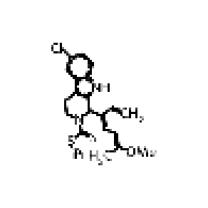 C=C/C(=C\C=C(/C)OC)C1c2[nH]c3ccc(Cl)cc3c2CCN1C(=S)SC(C)C